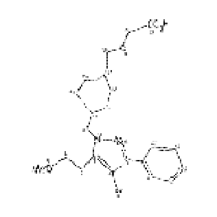 COCCc1c(Br)c(-c2ccccc2)nn1CC1CCC(COCC(=O)O)CC1